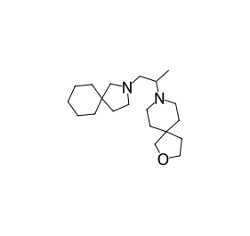 CC(CN1CCC2(CCCCC2)C1)N1CCC2(CCOC2)CC1